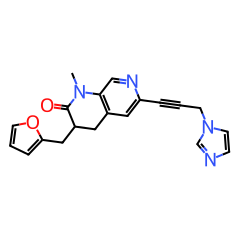 CN1C(=O)C(Cc2ccco2)Cc2cc(C#CCn3ccnc3)ncc21